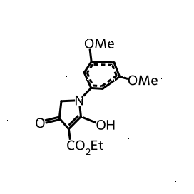 CCOC(=O)C1=C(O)N(c2cc(OC)cc(OC)c2)CC1=O